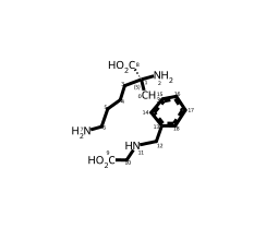 C[C@](N)(CCCCN)C(=O)O.O=C(O)CNCc1ccccc1